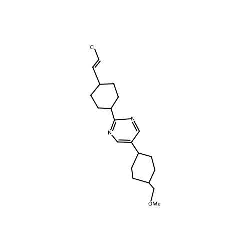 COCC1CCC(c2cnc(C3CCC(/C=C/Cl)CC3)nc2)CC1